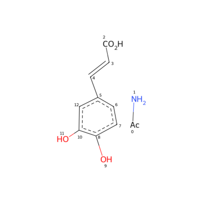 CC(N)=O.O=C(O)C=Cc1ccc(O)c(O)c1